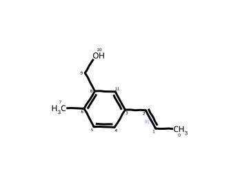 C/C=C/c1ccc(C)c(CO)c1